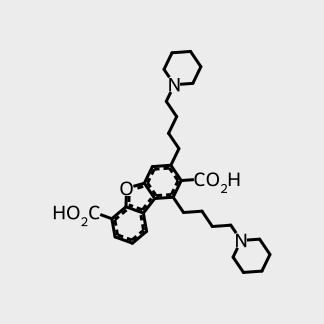 O=C(O)c1c(CCCCN2CCCCC2)cc2oc3c(C(=O)O)cccc3c2c1CCCCN1CCCCC1